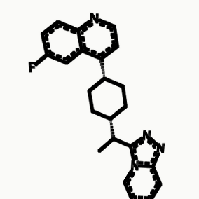 CC(c1nnc2ccccn12)[C@H]1CC[C@@H](c2ccnc3ccc(F)cc32)CC1